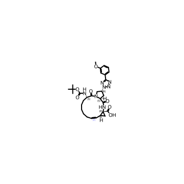 COc1cccc(-c2nnn([C@@H]3C[C@H]4C(=O)N[C@]5(C(=O)O)C[C@H]5/C=C\CCCCC[C@H](NC(=O)OC(C)(C)C)C(=O)N4C3)n2)c1